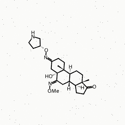 CO/N=C1\C[C@H]2[C@@H]3CCC(=O)[C@@]3(C)CC[C@@H]2[C@@]2(C)CCC(=NO[C@@H]3CCNC3)C[C@]12O